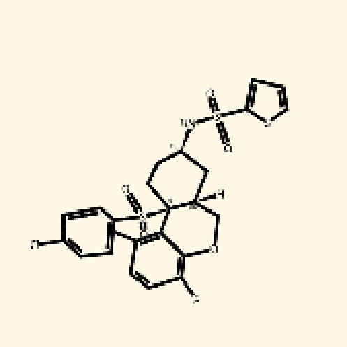 O=S(=O)(N[C@@H]1CC[C@@]2(S(=O)(=O)c3ccc(Cl)cc3)c3c(F)ccc(F)c3OC[C@H]2C1)c1cccs1